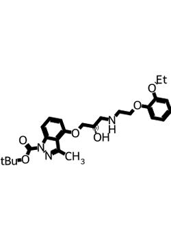 CCOc1ccccc1OCCNC[C@H](O)COc1cccc2c1c(C)nn2C(=O)OC(C)(C)C